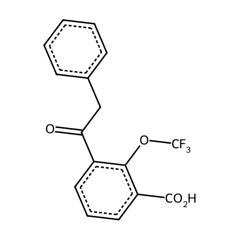 O=C(O)c1cccc(C(=O)Cc2ccccc2)c1OC(F)(F)F